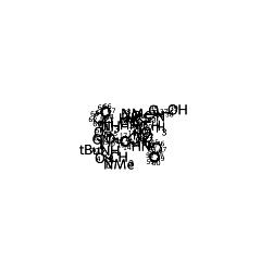 CN[C@@H](C)C(=O)NC(C(=O)N1C[C@@H](c2ccc3c(c2)CN(C(=O)[C@@H](NC(=O)[C@H](C)NC)C(C)(C)SCC(=O)NCCO)[C@H](C(=O)N[C@@H]2CCCc4ccccc42)C3)C[C@H]1C(=O)N[C@@H]1CCCc2ccccc21)C(C)(C)C